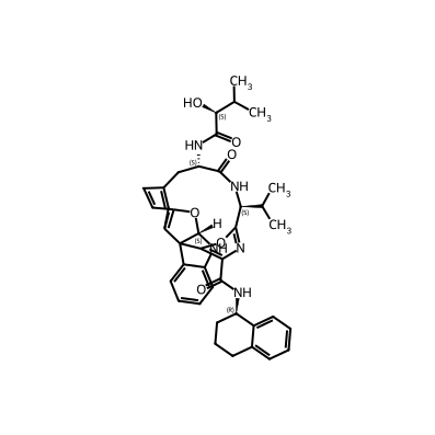 CC(C)[C@H](O)C(=O)N[C@H]1Cc2ccc3c(c2)C2(c4ccccc4N[C@H]2O3)c2oc(nc2C(=O)N[C@@H]2CCCc3ccccc32)[C@H](C(C)C)NC1=O